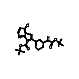 CC(C)(C)OC(=O)NC1CCCC(c2cc3c(Cl)ccnc3n2C(=O)OC(C)(C)C)C1